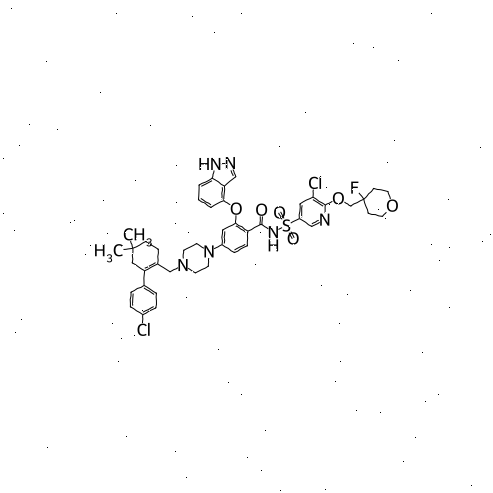 CC1(C)CCC(CN2CCN(c3ccc(C(=O)NS(=O)(=O)c4cnc(OCC5(F)CCOCC5)c(Cl)c4)c(Oc4cccc5[nH]ncc45)c3)CC2)=C(c2ccc(Cl)cc2)C1